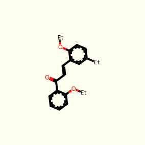 CCOc1ccc(CC)cc1C=CC(=O)c1ccccc1OCC